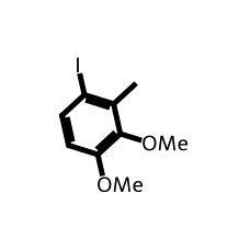 COc1ccc(I)c(C)c1OC